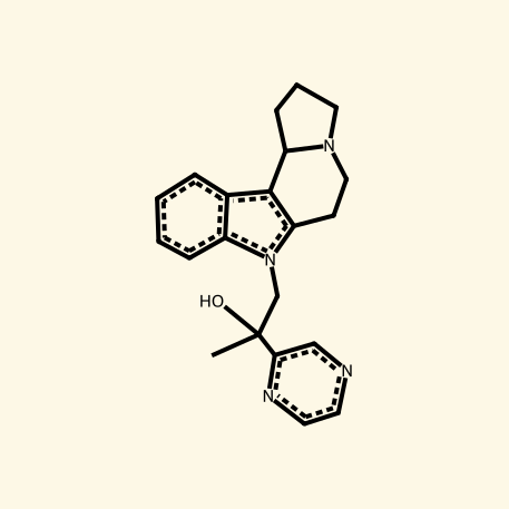 CC(O)(Cn1c2c(c3ccccc31)C1CCCN1CC2)c1cnccn1